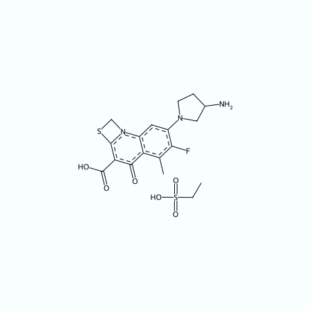 CCS(=O)(=O)O.Cc1c(F)c(N2CCC(N)C2)cc2c1c(=O)c(C(=O)O)c1n2CS1